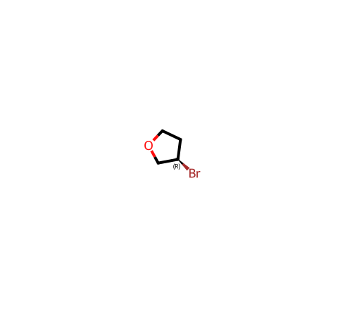 Br[C@@H]1CCOC1